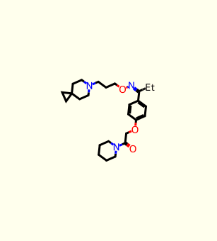 CCC(=NOCCCN1CCC2(CC1)CC2)c1ccc(OCC(=O)N2CCCCC2)cc1